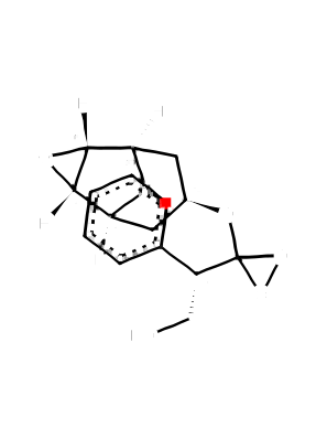 CN1[C@@H]2C[C@@H](OC3([C@H](CO)c4ccccc4)OO3)C[C@H]1[C@@H]1O[C@@H]12